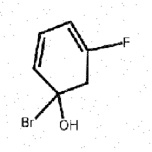 OC1(Br)C=CC=C(F)C1